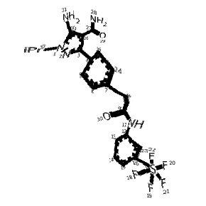 CC(C)n1nc(-c2ccc(CC(=O)Nc3cccc(S(F)(F)(F)(F)F)c3)cc2)c(C(N)=O)c1N